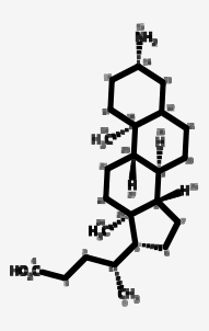 C[C@H](CCC(=O)O)[C@H]1CC[C@H]2[C@@H]3CCC4C[C@@H](N)CC[C@]4(C)[C@H]3CC[C@]12C